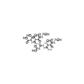 CCN(CCN(CCN(CC(C(=O)O)C(=O)O)C(CO)C(=O)NCCO)CC(=O)O)C(CO)C(=O)NCCO